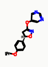 CC(C)Oc1ccc([C@@H]2CC(Oc3cncnc3)=NO2)cc1